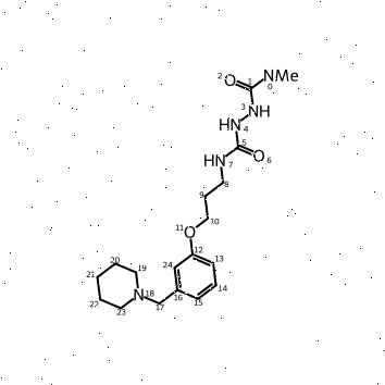 CNC(=O)NNC(=O)NCCCOc1cccc(CN2CCCCC2)c1